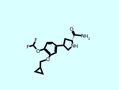 NC(=O)[C@H]1CC(c2ccc(OC(F)F)c(OCC3CC3)c2)CN1